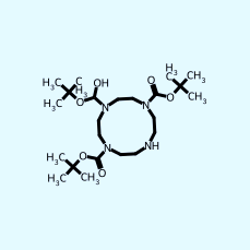 CC(C)(C)OC(=O)N1CCNCCN(C(=O)OC(C)(C)C)CCN(C(O)OC(C)(C)C)CC1